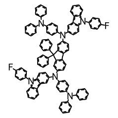 Fc1ccc(-n2c3ccccc3c3cc(N(c4ccc(N(c5ccccc5)c5ccccc5)cc4)c4ccc5c(c4)C(c4ccccc4)(c4ccccc4)c4cc(N(c6ccc(N(c7ccccc7)c7ccccc7)cc6)c6ccc7c(c6)c6ccccc6n7-c6ccc(F)cc6)ccc4-5)ccc32)cc1